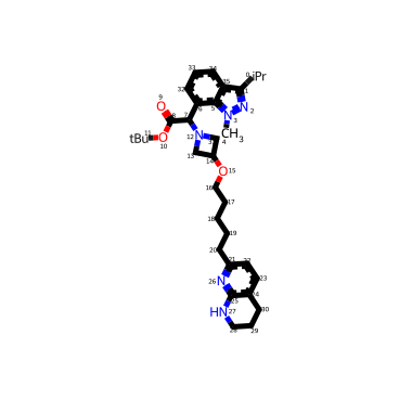 CC(C)c1nn(C)c2c(C(C(=O)OC(C)(C)C)N3CC(OCCCCCc4ccc5c(n4)NCCC5)C3)cccc12